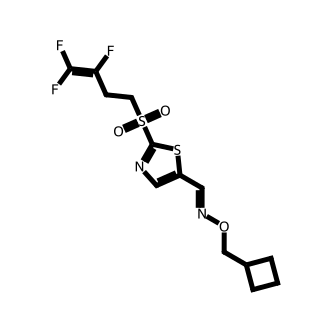 O=S(=O)(CCC(F)=C(F)F)c1ncc(C=NOCC2CCC2)s1